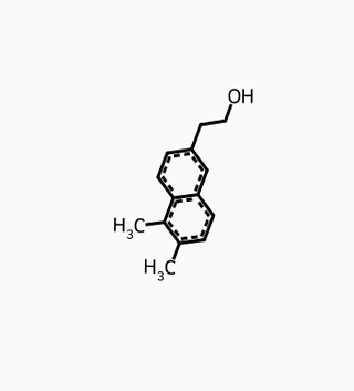 Cc1ccc2cc(CCO)ccc2c1C